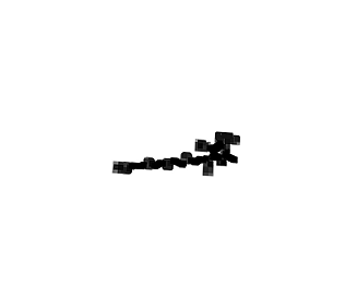 CSc1nc(C)nc(NCCOCCOCCOCCO)c1C(C)C